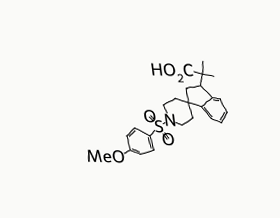 COc1ccc(S(=O)(=O)N2CCC3(CC2)CC(C(C)(C)C(=O)O)c2ccccc23)cc1